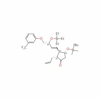 C=CC[C@H]1C(=O)C[C@@H](O[Si](C)(C)C(C)(C)C)[C@@H]1C=C[C@H](COc1cccc(C(F)(F)F)c1)O[Si](CC)(CC)CC